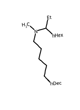 CCCCCCCCCCCCCCCN(C)C(CC)CCCCCC